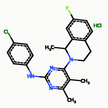 Cc1nc(Nc2ccc(Cl)cc2)nc(N2CCc3ccc(F)cc3C2C)c1C.Cl